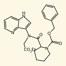 CCOC(=O)CN(C(=O)C1CCCCN1C(=O)OCc1ccccc1)c1c[nH]c2cccnc12